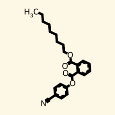 CCCCCCCCCOC(=O)c1ccccc1C(=O)Oc1ccc(C#N)cc1